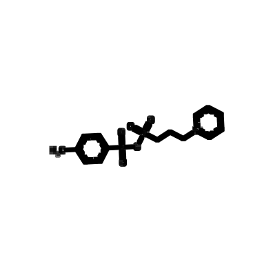 Cc1ccc(S(=O)(=O)OS(=O)(=O)CCC[n+]2ccccc2)cc1